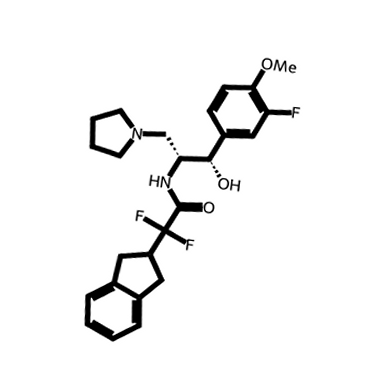 COc1ccc([C@H](O)[C@@H](CN2CCCC2)NC(=O)C(F)(F)C2Cc3ccccc3C2)cc1F